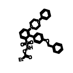 CCC(=O)ONS(=O)(=O)c1cccc(N2CCN(c3ccccc3)CC2)c1-c1ccc(OCc2ccccc2)cc1